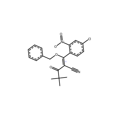 CC(C)(C)C(=O)/C(C#N)=C(\OCc1ccccc1)c1ccc(Cl)cc1[N+](=O)[O-]